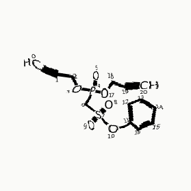 C#CCOP(=O)(CS(=O)(=O)Oc1ccccc1)OCC#C